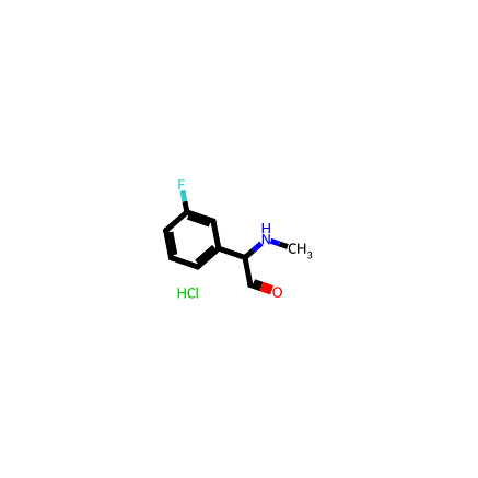 CNC(C=O)c1cccc(F)c1.Cl